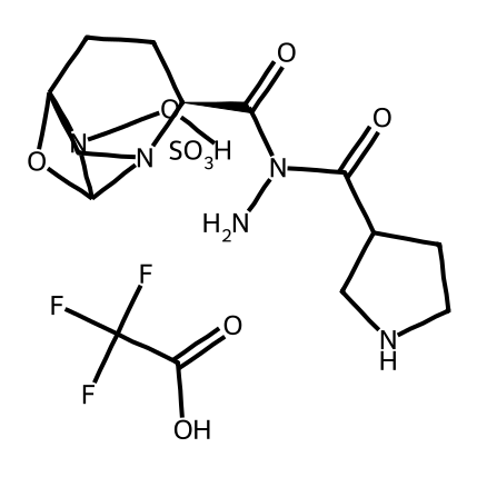 NN(C(=O)C1CCNC1)C(=O)[C@@H]1CCC23CN1C(O2)N3OS(=O)(=O)O.O=C(O)C(F)(F)F